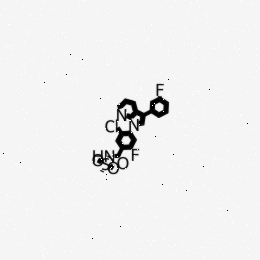 CS(=O)(=O)NC(=O)c1cc(Cl)c(-n2cc(-c3cccc(F)c3)c3cccnc32)cc1F